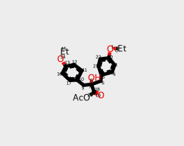 CCOc1ccc(CC(O)(Cc2ccc(OCC)cc2)C(=O)OC(C)=O)cc1